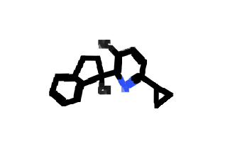 N#Cc1ccc(C2CC2)nc1C1(C#N)CCc2ccccc21